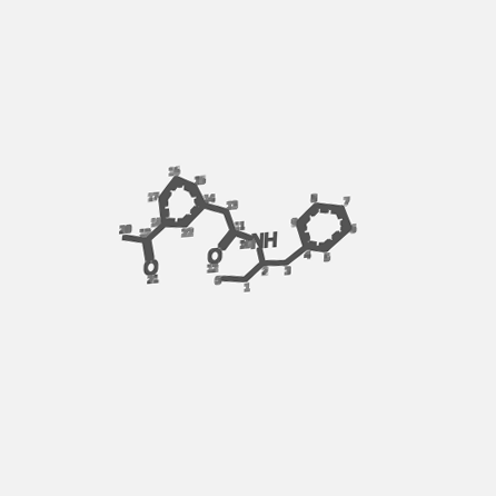 CCC(Cc1ccccc1)NC(=O)Cc1cccc(C(C)=O)c1